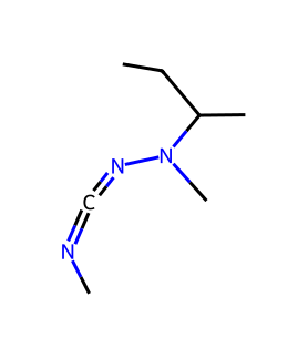 CCC(C)N(C)N=C=NC